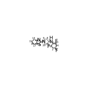 Fc1cc(F)c(NC2CCN(c3nc4ccccc4s3)CC2)c(F)c1